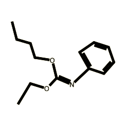 CCCCOC(=Nc1ccccc1)OCC